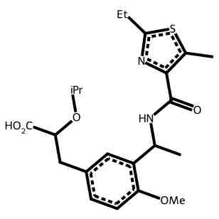 CCc1nc(C(=O)NC(C)c2cc(CC(OC(C)C)C(=O)O)ccc2OC)c(C)s1